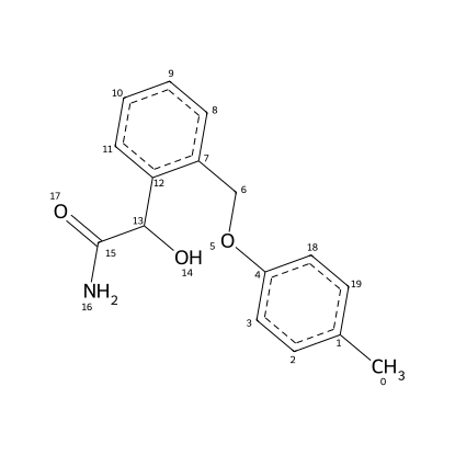 Cc1ccc(OCc2ccccc2C(O)C(N)=O)cc1